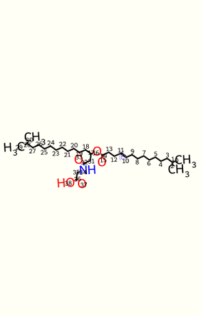 CC(C)CCCCCCC/C=C/CCC(=O)OC(CCCCCCCCCCC(C)C)CC(=O)NCC(=O)O